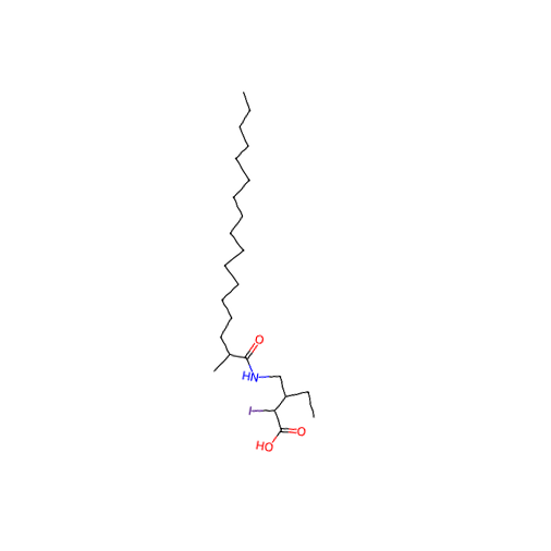 CCCCCCCCCCCCCCCC(C)C(=O)NCC(CC)C(I)C(=O)O